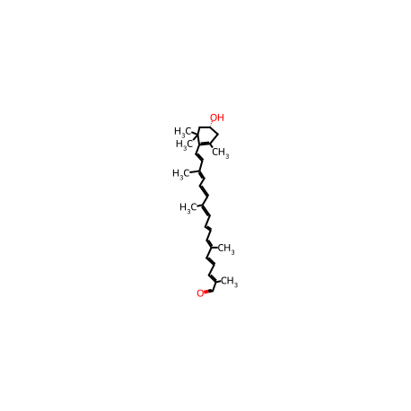 CC1=C(/C=C/C(C)=C/C=C/C(C)=C/C=C/C=C(C)/C=C/C=C(\C)C=O)C(C)(C)C[C@H](O)C1